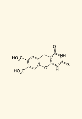 O=C(O)c1cc2c(cc1C(=O)O)Oc1[nH]c(=S)[nH]c(=O)c1C2